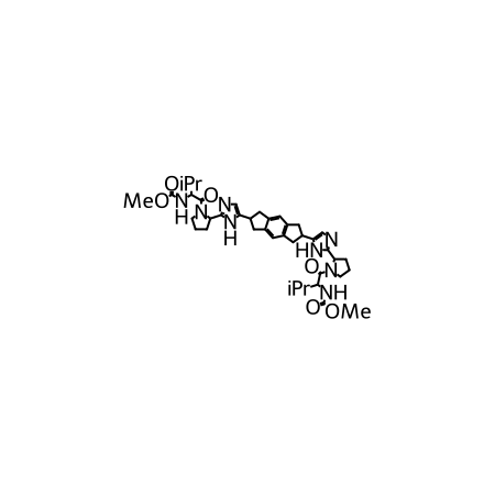 COC(=O)NC(C(=O)N1CCCC1c1ncc(C2Cc3cc4c(cc3C2)CC(c2cnc(C3CCCN3C(=O)C(NC(=O)OC)C(C)C)[nH]2)C4)[nH]1)C(C)C